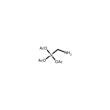 CC(=O)O[Si](CN)(OC(C)=O)OC(C)=O